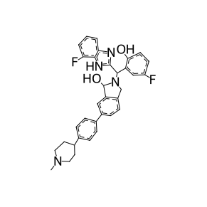 CN1CCC(c2ccc(-c3ccc4c(c3)C(O)N(C(c3nc5cccc(F)c5[nH]3)c3cc(F)ccc3O)C4)cc2)CC1